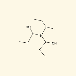 CCC(C)N(C(O)CC)C(O)CC